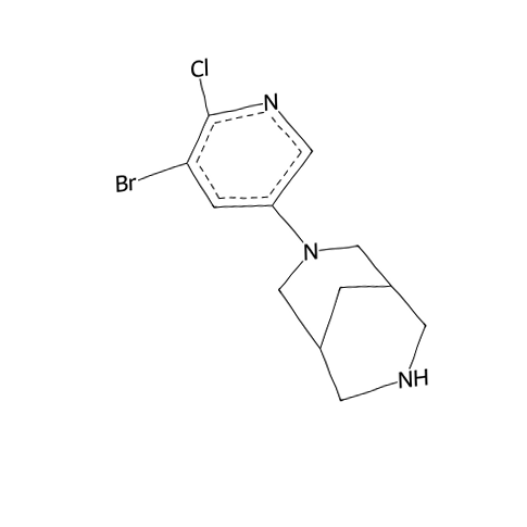 Clc1ncc(N2CC3CNCC(C3)C2)cc1Br